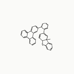 CC12C=C(c3ccccc3-c3ccc4c5ccccc5c5ccccc5c4c3)C=CC1Sc1ccccc12